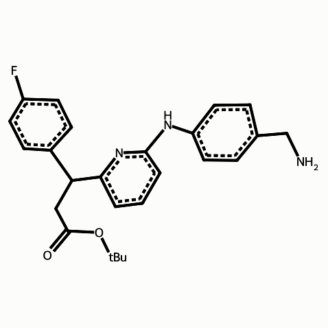 CC(C)(C)OC(=O)CC(c1ccc(F)cc1)c1cccc(Nc2ccc(CN)cc2)n1